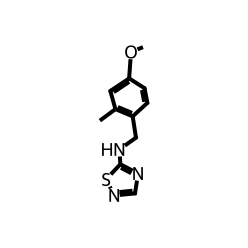 COc1ccc(CNc2ncns2)c(C)c1